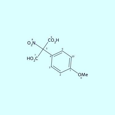 COc1ccc(C(C(=O)O)(C(=O)O)[N+](=O)[O-])cc1